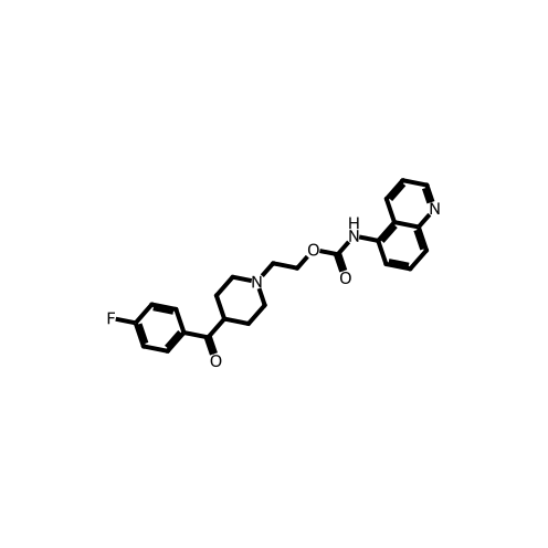 O=C(Nc1cccc2ncccc12)OCCN1CCC(C(=O)c2ccc(F)cc2)CC1